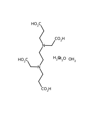 O.O.O.O=C(O)CCN(CCN(CCC(=O)O)CC(=O)O)CC(=O)O